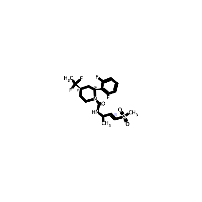 CC(/C=C/S(C)(=O)=O)NC(=O)N1CC[C@@H](C(C)(F)F)C[C@H]1c1c(F)cccc1F